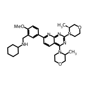 COc1ccc(-c2ccc3c(N4CCOCC4C)nc(N4CCOC[C@@H]4C)nc3n2)cc1CNC1CCCCC1